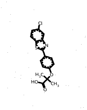 CC(C)(Oc1ccc(-c2nc3cc(Cl)ccc3s2)cc1)C(=O)O